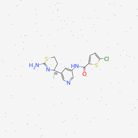 C[C@@]1(c2cncc(NC(=O)c3ccc(Cl)s3)c2)CCSC(N)=N1